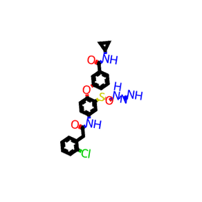 N=NNOSc1cc(NC(=O)Cc2ccccc2Cl)ccc1Oc1cccc(C(=O)NC2CC2)c1